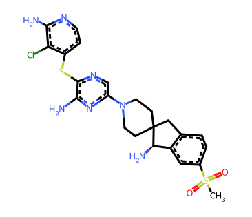 CS(=O)(=O)c1ccc2c(c1)[C@@H](N)C1(CCN(c3cnc(Sc4ccnc(N)c4Cl)c(N)n3)CC1)C2